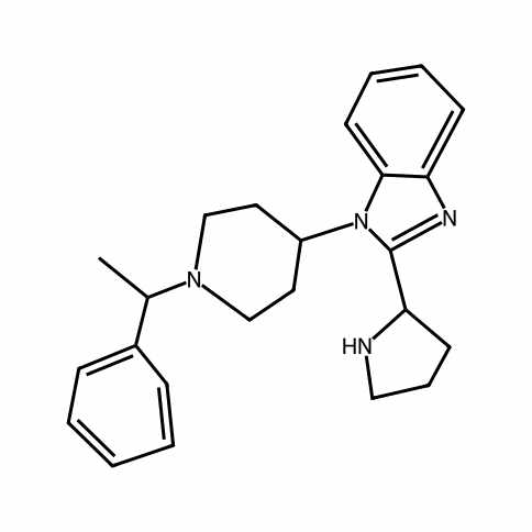 CC(c1ccccc1)N1CCC(n2c(C3CCCN3)nc3ccccc32)CC1